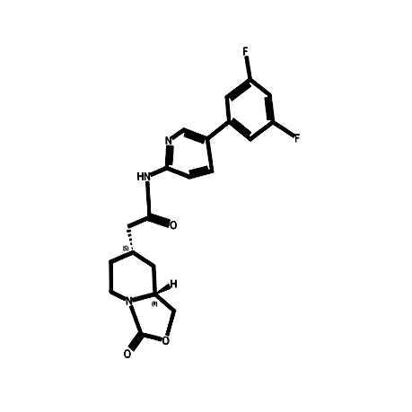 O=C(C[C@H]1CCN2C(=O)OC[C@H]2C1)Nc1ccc(-c2cc(F)cc(F)c2)cn1